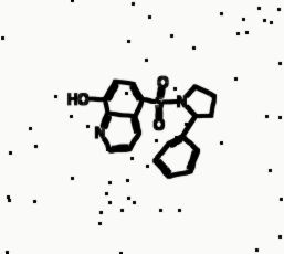 O=S(=O)(c1ccc(O)c2ncccc12)N1CCCC1c1ccccc1